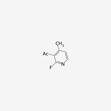 CC(=O)c1c(C)ccnc1F